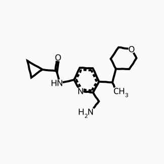 CC(c1ccc(NC(=O)C2CC2)nc1CN)C1CCOCC1